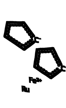 [Fe+2].[Ru].c1cc[cH-]c1.c1cc[cH-]c1